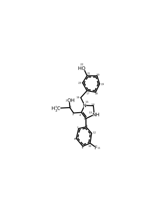 CC(O)CC1=C(c2cccc(F)c2)NCN1Cc1cccc(O)c1